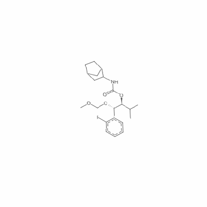 COCO[C@@H](c1ccccc1I)[C@@H](OC(=O)NC1CC2CCC1C2)C(C)C